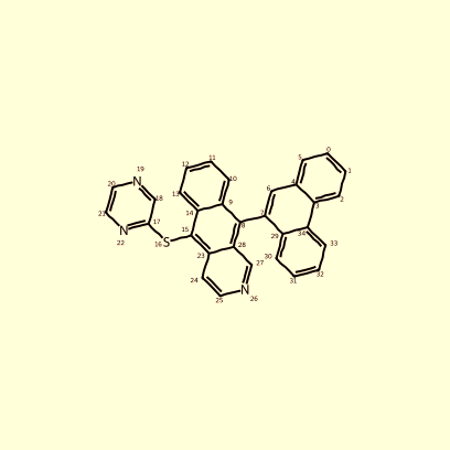 c1ccc2c(c1)cc(-c1c3ccccc3c(Sc3cnccn3)c3ccncc13)c1ccccc12